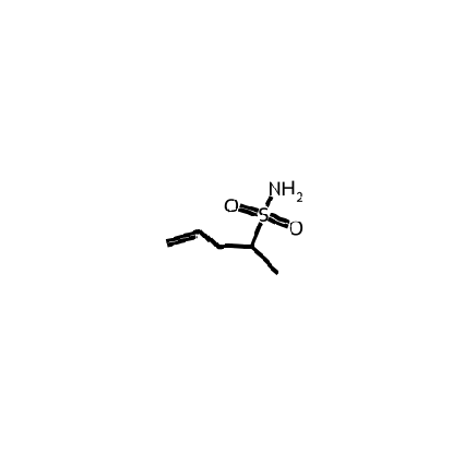 C=CCC(C)S(N)(=O)=O